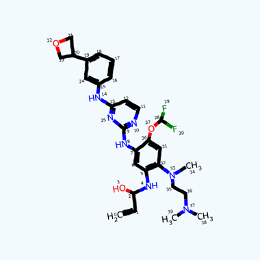 C=CC(O)Nc1cc(Nc2nccc(Nc3cccc(C4COC4)c3)n2)c(OC(F)F)cc1N(C)CCN(C)C